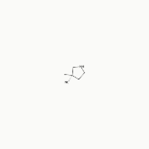 C[C@]1(C#N)CCNC1